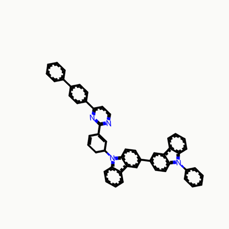 C1=CC(c2nccc(-c3ccc(-c4ccccc4)cc3)n2)=CC(n2c3ccccc3c3cc(-c4ccc5c(c4)c4ccccc4n5-c4ccccc4)ccc32)C1